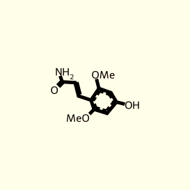 COc1cc(O)cc(OC)c1C=CC(N)=O